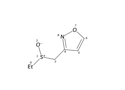 CC[S+]([O-])Cc1ccon1